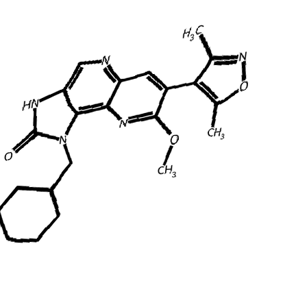 COc1nc2c(cc1-c1c(C)noc1C)ncc1[nH]c(=O)n(CC3CCCCC3)c12